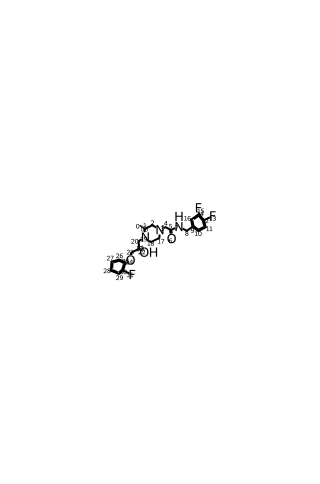 C[C@H]1CN(CC(=O)NCc2ccc(F)c(F)c2)CCN1C[C@@H](O)COc1ccccc1F